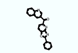 O=C(c1cnc2ccccc2c1)c1ccc2oc(-c3ccccc3)nc2n1